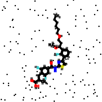 CCCCCCOCCC(OC)c1cccc(-c2csc(NC(=O)c3cc(F)c(C=C(C)C(=O)O)c(F)c3)n2)c1F